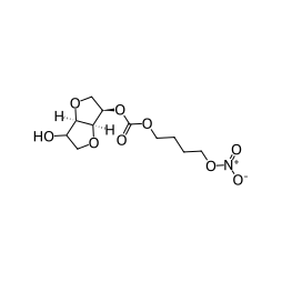 O=C(OCCCCO[N+](=O)[O-])O[C@@H]1CO[C@@H]2C(O)CO[C@@H]21